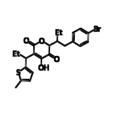 CCC(C1=C(O)C(=O)C(C(CC)Cc2ccc(Br)cc2)OC1=O)c1ccc(C)s1